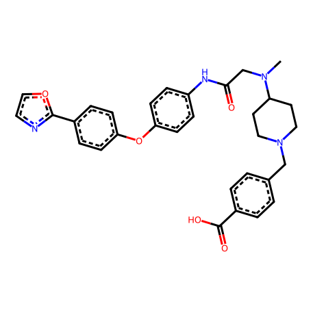 CN(CC(=O)Nc1ccc(Oc2ccc(-c3ncco3)cc2)cc1)C1CCN(Cc2ccc(C(=O)O)cc2)CC1